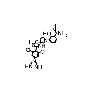 CC1(NC(=O)c2c(Cl)cc(N(C=N)C=N)cc2Cl)CCN(c2cccc(C(=N)N)c2O)C1